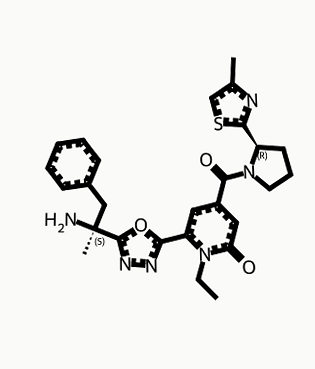 CCn1c(-c2nnc([C@@](C)(N)Cc3ccccc3)o2)cc(C(=O)N2CCC[C@@H]2c2nc(C)cs2)cc1=O